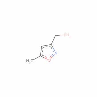 BCc1cc(C)on1